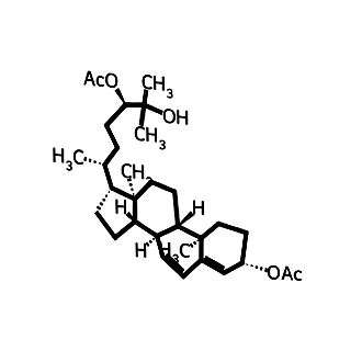 CC(=O)O[C@@H]1C=C2C=C[C@H]3[C@@H]4CC[C@H]([C@H](C)CC[C@@H](OC(C)=O)C(C)(C)O)[C@@]4(C)CC[C@@H]3[C@@]2(C)CC1